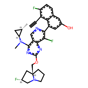 C#Cc1c(F)ccc2cc(O)cc(-c3ncc4c(N(C)[C@H]5C[C@@H]5C)nc(OC[C@@]56CCCN5C[C@H](F)C6)nc4c3F)c12